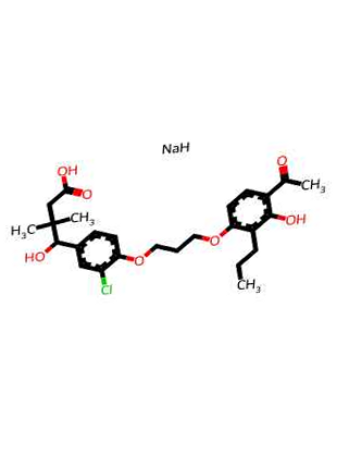 CCCc1c(OCCCOc2ccc(C(O)C(C)(C)CC(=O)O)cc2Cl)ccc(C(C)=O)c1O.[NaH]